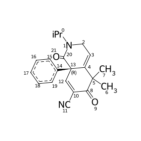 CC(C)N1CC=C2C(C)(C)C(=O)C(C#N)=C[C@]2(c2ccccc2)C1=O